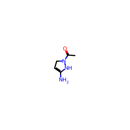 CC(=O)N1CC=C(N)N1